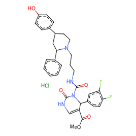 COC(=O)C1=CNC(=O)N(C(=O)NCCCN2CCC(c3ccc(O)cc3)CC2c2ccccc2)C1c1ccc(F)c(F)c1.Cl